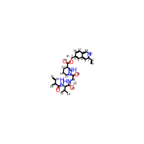 C=Cc1cc2cc([C@@H](C)OC(=O)C3CCCN(C(=O)[C@H](C)NC(=O)[C@@H](NC(=O)C(C)C=C)C(C)C)N3)ccc2cn1